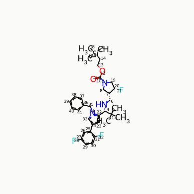 CC(C)(C)[C@@H](NC[C@@H]1CN(C(=O)OCC[Si](C)(C)C)C[C@@H]1F)c1cc(-c2cc(F)ccc2F)cn1Cc1ccccc1